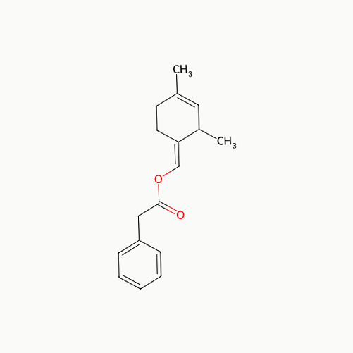 CC1=CC(C)C(=COC(=O)Cc2ccccc2)CC1